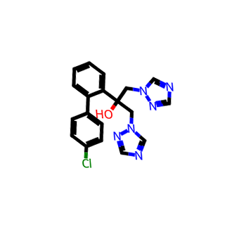 OC(Cn1cncn1)(Cn1cncn1)c1ccccc1-c1ccc(Cl)cc1